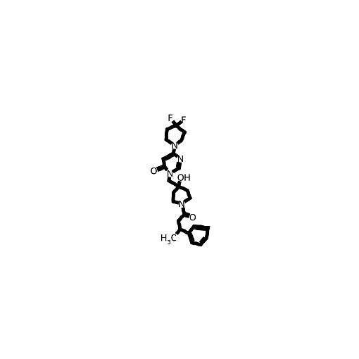 CC(CC(=O)N1CCC(O)(Cn2cnc(N3CCC(F)(F)CC3)cc2=O)CC1)c1ccccc1